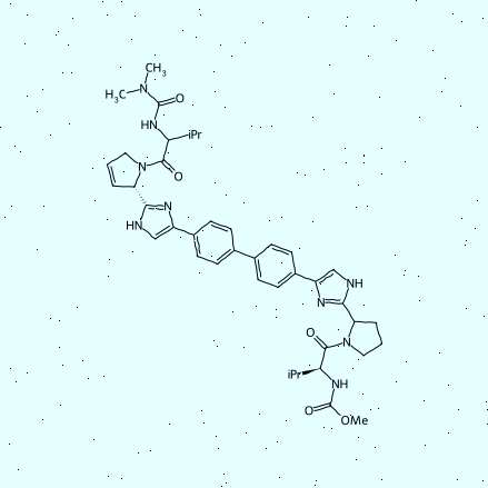 COC(=O)N[C@H](C(=O)N1CCCC1c1nc(-c2ccc(-c3ccc(-c4c[nH]c([C@@H]5C=CCN5C(=O)C(NC(=O)N(C)C)C(C)C)n4)cc3)cc2)c[nH]1)C(C)C